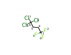 FC(F)(F)CCC(Cl)(Cl)Cl